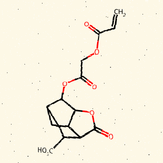 C=CC(=O)OCC(=O)OC1C2CC3C1OC(=O)C3C2C(=O)O